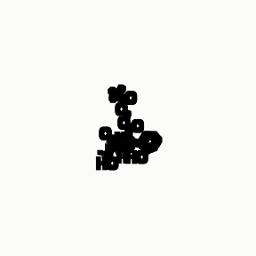 C[C@@H](O)[C@H]1C(=O)N2C(C(=O)OCOC(=O)C(C)(C)C)=C(c3ccccc3O)C[C@H]12